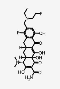 CCN(CCF)Cc1cc(O)c2c(c1F)C[C@H]1C[C@H]3[C@H](N(C)C)C(O)=C(C(N)=O)C(=O)[C@@]3(O)C(O)=C1C2=O